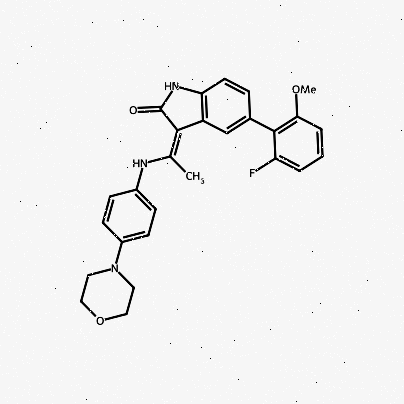 COc1cccc(F)c1-c1ccc2c(c1)/C(=C(\C)Nc1ccc(N3CCOCC3)cc1)C(=O)N2